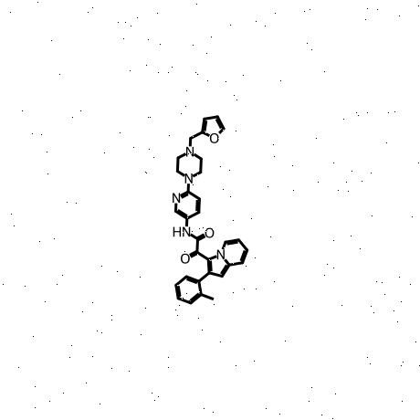 Cc1ccccc1-c1cc2ccccn2c1C(=O)C(=O)Nc1ccc(N2CCN(Cc3ccco3)CC2)nc1